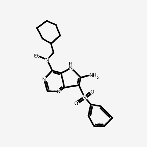 CCN(CC1CCCCC1)c1ncnc2c(S(=O)(=O)c3ccccc3)c(N)[nH]c12